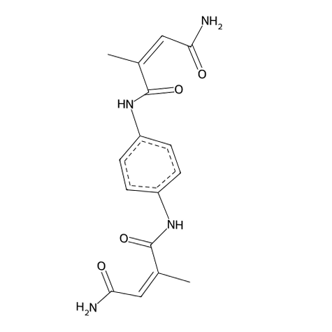 C/C(=C/C(N)=O)C(=O)Nc1ccc(NC(=O)/C(C)=C\C(N)=O)cc1